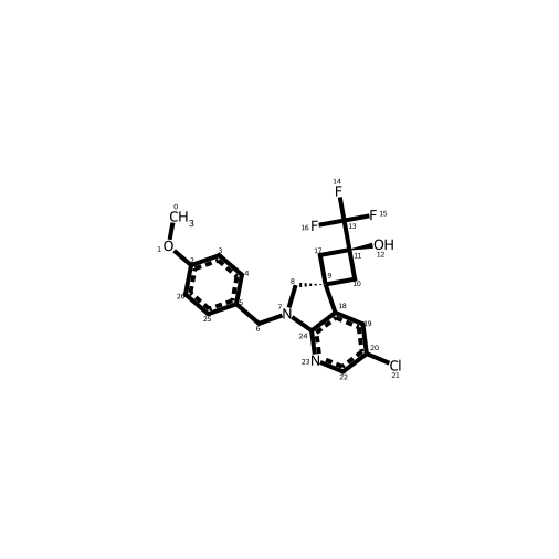 COc1ccc(CN2C[C@]3(C[C@@](O)(C(F)(F)F)C3)c3cc(Cl)cnc32)cc1